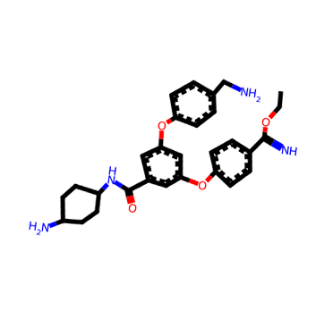 CCOC(=N)c1ccc(Oc2cc(Oc3ccc(CN)cc3)cc(C(=O)NC3CCC(N)CC3)c2)cc1